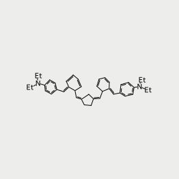 CCN(CC)c1ccc(C=C2C=CC=CC2C=C2CCC(=CC3C=CC=CC3=Cc3ccc(N(CC)CC)cc3)C2)cc1